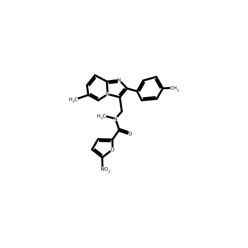 Cc1ccc(-c2nc3ccc(C)cn3c2CN(C)C(=O)c2ccc([N+](=O)[O-])o2)cc1